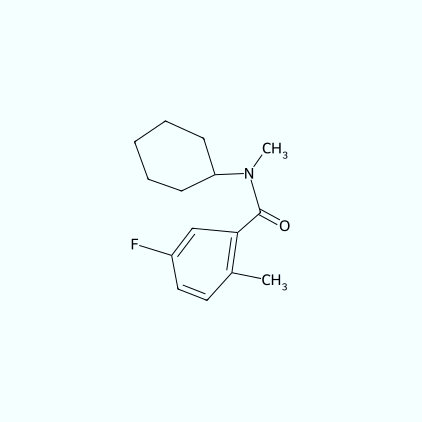 Cc1ccc(F)cc1C(=O)N(C)C1CCCCC1